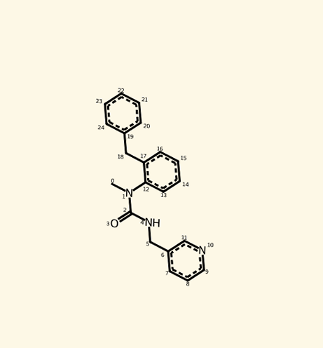 CN(C(=O)NCc1cccnc1)c1ccccc1Cc1ccccc1